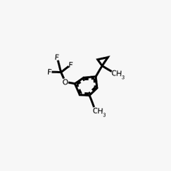 Cc1cc(OC(F)(F)F)cc(C2(C)CC2)c1